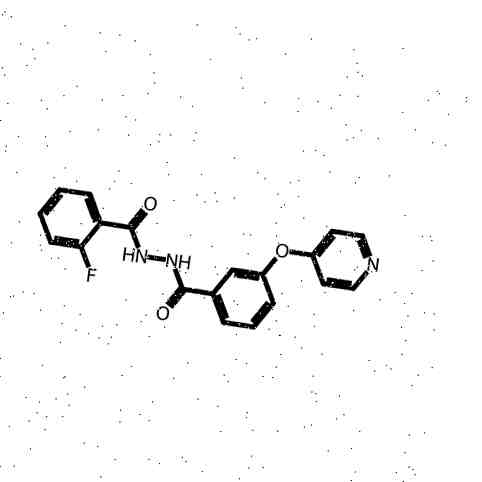 O=C(NNC(=O)c1ccccc1F)c1cccc(Oc2ccncc2)c1